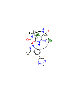 CC(=O)c1nn2c3c(cc(-c4cnc(C)nc4)cc13)CCCCCCC(=O)NC[C@@]13C[C@@H](C(=O)Nc4nc(Br)ccc4Cl)N(C(=O)C2)[C@@H]1C3